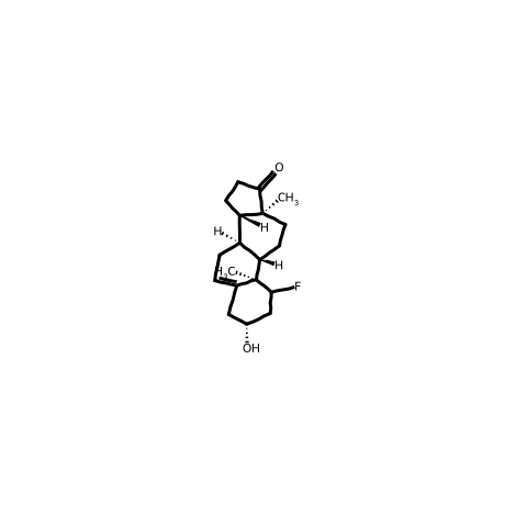 C[C@]12CC[C@H]3[C@@H](CC=C4C[C@@H](O)CC(F)[C@@]43C)[C@@H]1CCC2=O